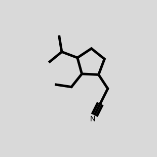 CCC1C(CC#N)CCC1C(C)C